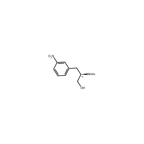 CC(=O)N[C@@H](CO)Cc1cccc([N+](=O)[O-])c1